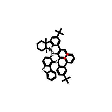 Cc1cc2c3c(c1)N(c1ccc(C(C)(C)C)cc1-c1ccccc1)c1c(ccc4sc5ccccc5c14)B3N1c3c-2cc(C(C)(C)C)cc3C2(C)CCCC[C@@]12C